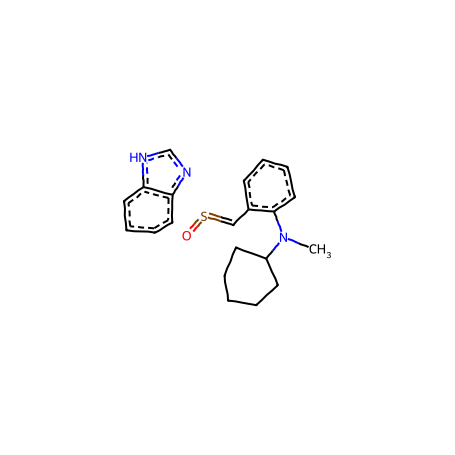 CN(c1ccccc1C=S=O)C1CCCCC1.c1ccc2[nH]cnc2c1